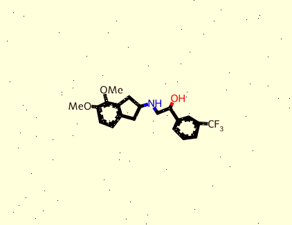 COc1ccc2c(c1OC)CC(NCC(O)c1cccc(C(F)(F)F)c1)C2